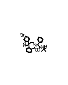 CC(C)(C)NC(=O)C(c1ccccc1)N1CCC2(C=Nc3cc(Br)ccc32)c2ccccc2C1=O